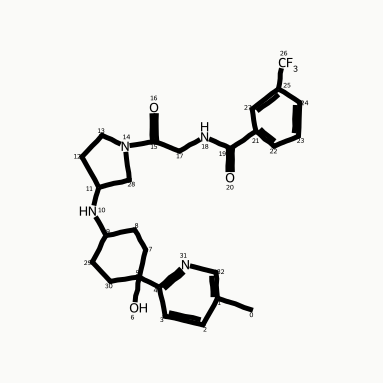 Cc1ccc(C2(O)CCC(NC3CCN(C(=O)CNC(=O)c4cccc(C(F)(F)F)c4)C3)CC2)nc1